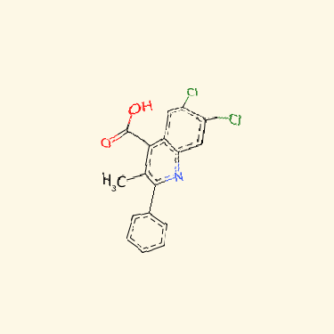 Cc1c(-c2ccccc2)nc2cc(Cl)c(Cl)cc2c1C(=O)O